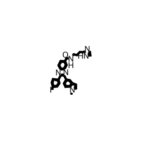 Cn1ccc2cc(-c3nc4cc(C(=O)NCCCc5ncc[nH]5)ccc4nc3-c3ccc(F)cc3)ccc21